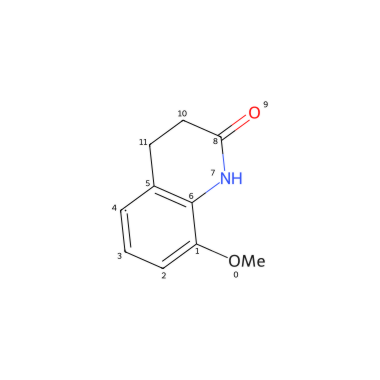 COc1cc[c]c2c1NC(=O)CC2